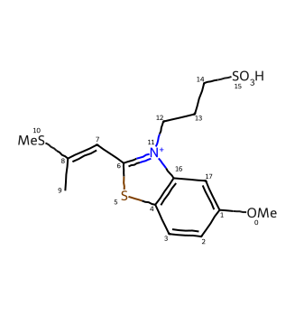 COc1ccc2sc(/C=C(\C)SC)[n+](CCCS(=O)(=O)O)c2c1